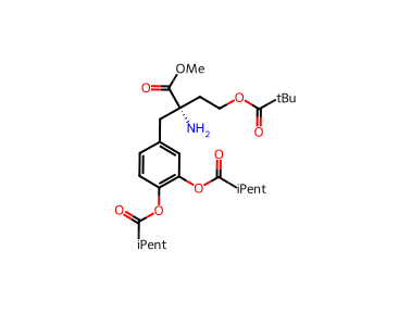 CCCC(C)C(=O)Oc1ccc(C[C@](N)(CCOC(=O)C(C)(C)C)C(=O)OC)cc1OC(=O)C(C)CCC